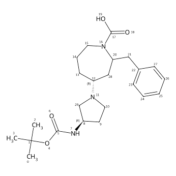 CC(C)(C)OC(=O)N[C@@H]1CCN([C@@H]2CCCN(C(=O)O)C(Cc3ccccc3)C2)C1